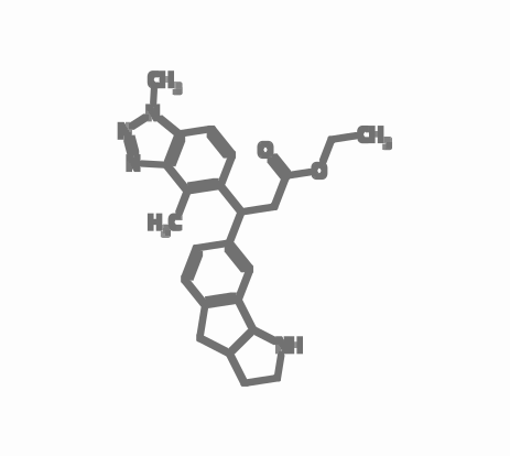 CCOC(=O)CC(c1ccc2c(c1)C1NCCC1C2)c1ccc2c(nnn2C)c1C